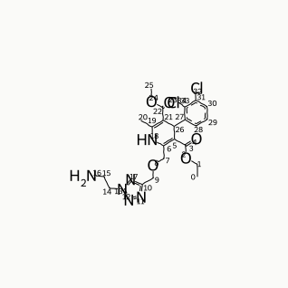 CCOC(=O)C1=C(COCc2nnn(CCN)n2)NC(C)=C(C(=O)OC)C1c1cccc(Cl)c1Cl